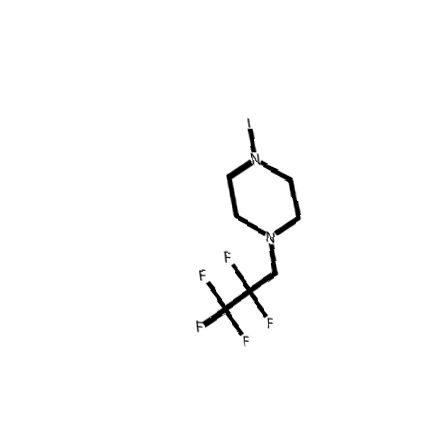 FC(F)(F)C(F)(F)CN1CCN(I)CC1